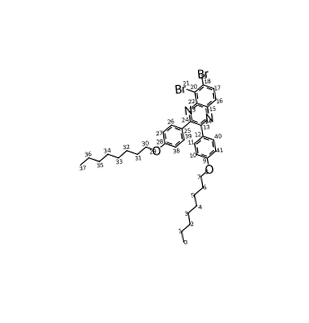 CCCCCCCCOc1ccc(-c2nc3ccc(Br)c(Br)c3nc2-c2ccc(OCCCCCCCC)cc2)cc1